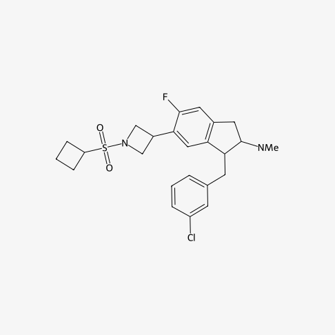 CNC1Cc2cc(F)c(C3CN(S(=O)(=O)C4CCC4)C3)cc2C1Cc1cccc(Cl)c1